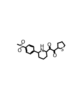 CS(=O)(=O)c1ccc(C2CCCC(C(=O)C(=O)C3CCCS3)N2)cc1